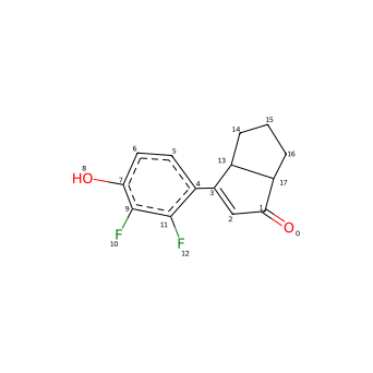 O=C1C=C(c2ccc(O)c(F)c2F)C2CCCC12